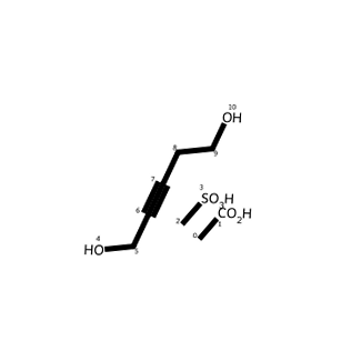 CC(=O)O.CS(=O)(=O)O.OCC#CCCO